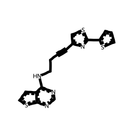 C(#Cc1csc(-c2cccs2)n1)CCNc1ncnc2sccc12